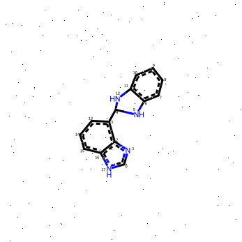 [c]1nc2c(C3Nc4ccccc4N3)cccc2[nH]1